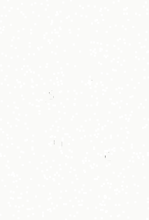 CCSc1cc[c]c(Cl)c1Cl